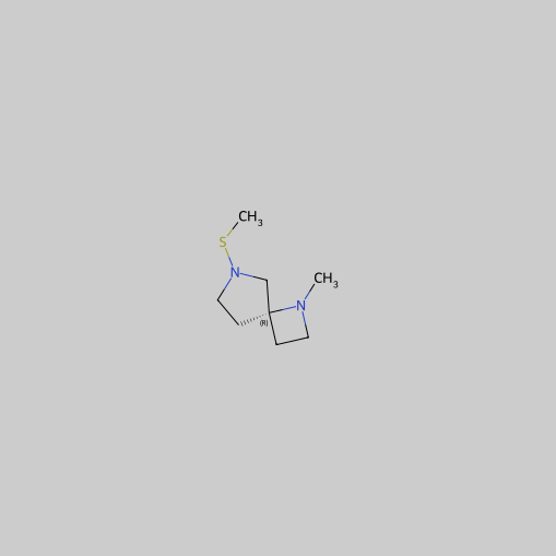 CSN1CC[C@]2(CCN2C)C1